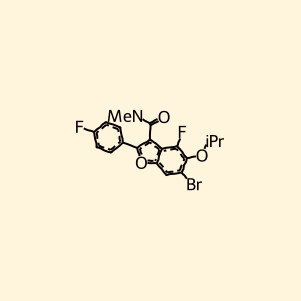 CNC(=O)c1c(-c2ccc(F)cc2)oc2cc(Br)c(OC(C)C)c(F)c12